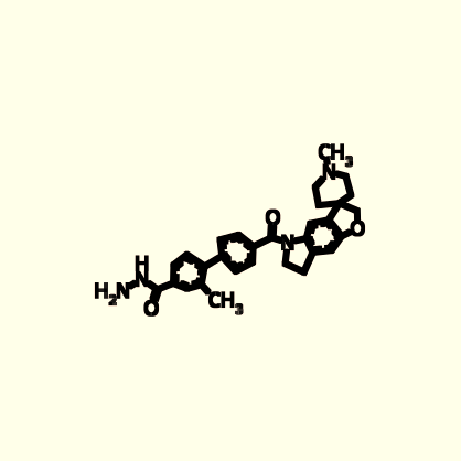 Cc1cc(C(=O)NN)ccc1-c1ccc(C(=O)N2CCc3cc4c(cc32)C2(CCN(C)CC2)CO4)cc1